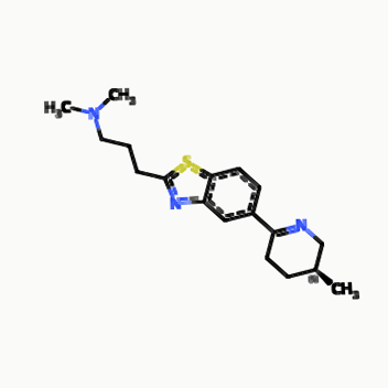 C[C@H]1CCC(c2ccc3sc(CCCN(C)C)nc3c2)=NC1